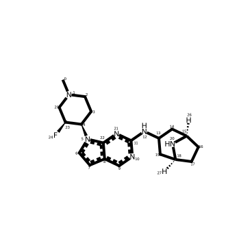 CN1CC[C@@H](n2ccc3cnc(NC4C[C@H]5CC[C@@H](C4)N5)nc32)[C@@H](F)C1